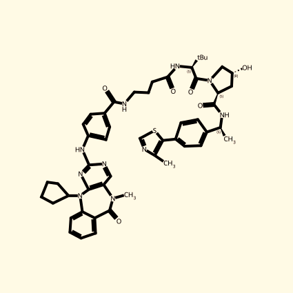 Cc1ncsc1-c1ccc([C@H](C)NC(=O)[C@@H]2C[C@@H](O)CN2C(=O)[C@@H](NC(=O)CCCNC(=O)c2ccc(Nc3ncc4c(n3)N(C3CCCC3)c3ccccc3C(=O)N4C)cc2)C(C)(C)C)cc1